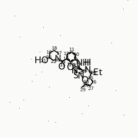 CC[C@@H](Nc1nsnc1Nc1cccc(C(=O)N2CCCC(O)C2)c1O)C1CC=C(C)O1